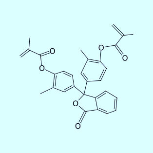 C=C(C)C(=O)Oc1ccc(C2(c3ccc(OC(=O)C(=C)C)c(C)c3)OC(=O)c3ccccc32)cc1C